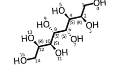 OC[C@@H](O)[C@H](O)[C@H](O)[C@@H](O)[C@@H](O)[C@H](O)CO